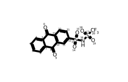 O=C1c2ccccc2C(=O)c2cc(S(=O)(=O)NS(=O)(=O)C(F)(F)F)ccc21